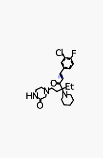 CCC(CCN1CCNC(=O)C1)(C(=O)/C=C/c1ccc(F)c(Cl)c1)N1CCCCC1